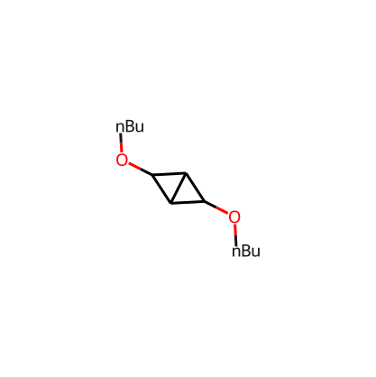 CCCCOC1C2C(OCCCC)C12